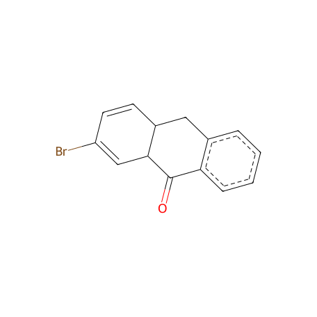 O=C1c2ccccc2CC2C=CC(Br)=CC12